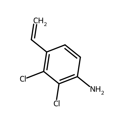 C=Cc1ccc(N)c(Cl)c1Cl